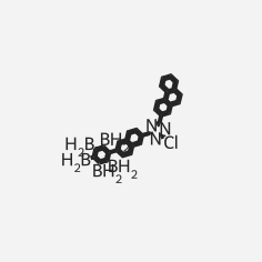 Bc1c(B)c(B)c(-c2ccc3cc(-c4nc(Cl)nc(-c5ccc6c(ccc7ccccc76)c5)n4)ccc3c2)c(B)c1B